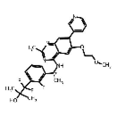 COCCOc1cc2c(N[C@H](C)c3cccc(C(F)(F)C(C)(C)O)c3F)nc(C)nc2cc1-c1cccnc1